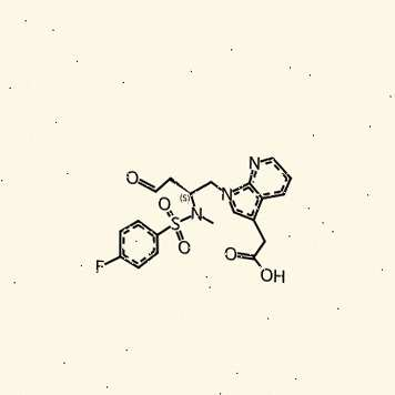 CN([C@@H](CC=O)Cn1cc(CC(=O)O)c2cccnc21)S(=O)(=O)c1ccc(F)cc1